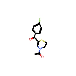 CC(=O)N1C=C(C(=O)c2ccc(F)cc2)SCC1